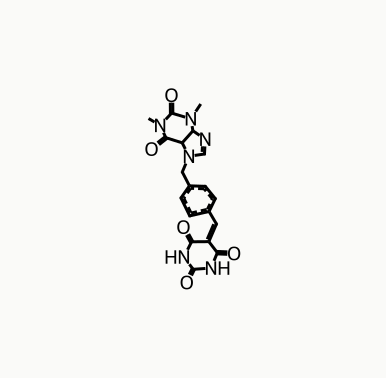 CN1C(=O)C2C(N=CN2Cc2ccc(C=C3C(=O)NC(=O)NC3=O)cc2)N(C)C1=O